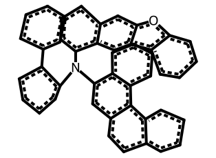 c1ccc(-c2ccccc2N(c2cccc3cc4oc5ccccc5c4cc23)c2cc3ccc4ccccc4c3c3ccccc23)cc1